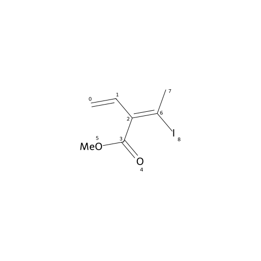 C=C/C(C(=O)OC)=C(\C)I